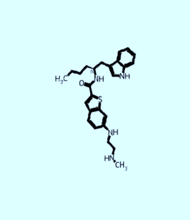 CCCC[C@@H](Cc1c[nH]c2ccccc12)NC(=O)c1cc2ccc(NCCNC)cc2s1